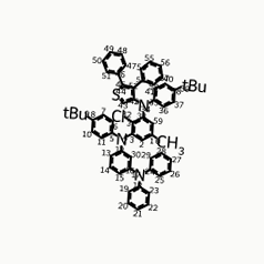 Cc1cc(N(c2ccc(C(C)(C)C)cc2)c2cccc(N(c3ccccc3)c3ccccc3)c2)c(Cl)c(N(c2ccc(C(C)(C)C)cc2)c2csc(-c3ccccc3)c2-c2ccccc2)c1